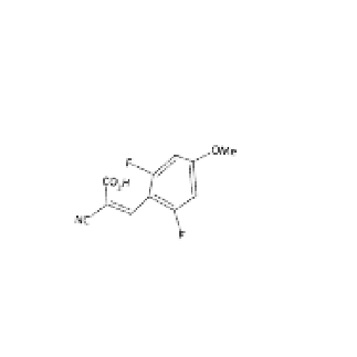 COc1cc(F)c(/C=C(/C#N)C(=O)O)c(F)c1